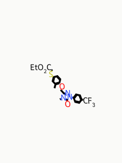 CCOC(=O)CSc1ccc(OCc2nn(-c3ccc(C(F)(F)F)cc3)c(=O)n2C)c(C)c1